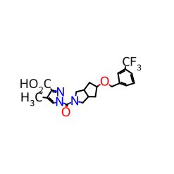 Cc1cn(C(=O)N2CC3CC(OCc4cccc(C(F)(F)F)c4)CC3C2)nc1C(=O)O